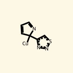 [Cu][C]1(c2csnn2)C=CC=N1